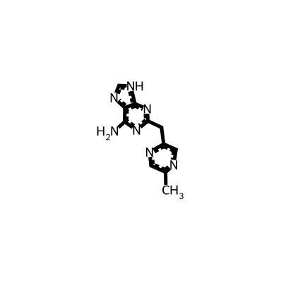 Cc1cnc(Cc2nc(N)c3nc[nH]c3n2)cn1